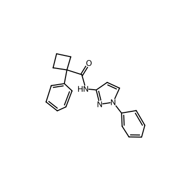 O=C(Nc1ccn(-c2ccccc2)n1)C1(c2ccccc2)CCC1